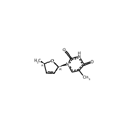 Cc1cn([C@H]2C=C[C@@H](C)O2)c(=O)[nH]c1=O